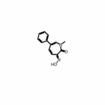 Cn1cc(-c2ccccc2)ccc(=NO)c1=O